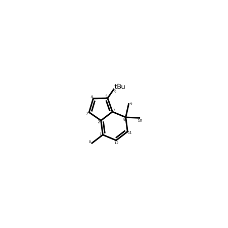 CC1=C2C=CC(C(C)(C)C)=C2C(C)(C)C=C1